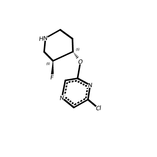 F[C@H]1CNCC[C@@H]1Oc1cncc(Cl)n1